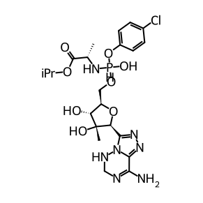 CC(C)OC(=O)[C@H](C)N[PH](O)(OC[C@H]1O[C@@H](c2nnc3n2NCN=C3N)[C@](C)(O)[C@@H]1O)Oc1ccc(Cl)cc1